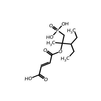 CCC(CC)C(C)(CP(=O)(O)O)OC(=O)C=CC(=O)O